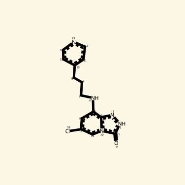 O=c1[nH]nc2c(NCCCc3ccncc3)cc(Cl)cn12